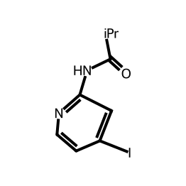 CC(C)C(=O)Nc1cc(I)ccn1